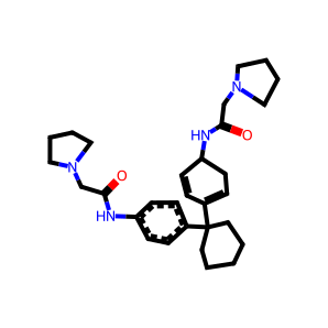 O=C(CN1CCCC1)Nc1ccc(C2(C3=CCC(NC(=O)CN4CCCC4)C=C3)CCCCC2)cc1